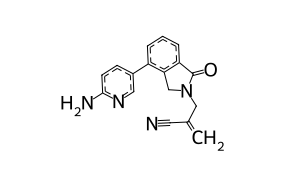 C=C(C#N)CN1Cc2c(cccc2-c2ccc(N)nc2)C1=O